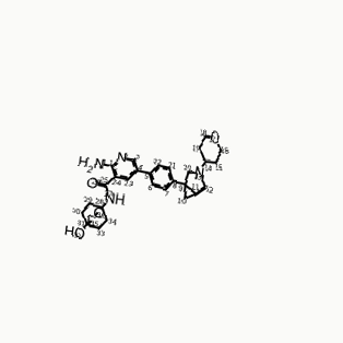 Nc1ncc(-c2ccc(C34CC3CN(C3CCOCC3)C4)cc2)cc1C(=O)NC12CCC(O)(CC1)CC2